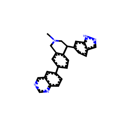 CN1Cc2cc(-c3ccc4ncncc4c3)ccc2C(c2ccc3cn[nH]c3c2)C1